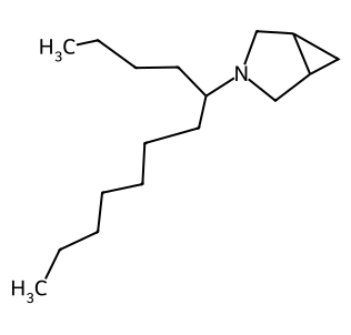 CCCCCCCC(CCCC)N1CC2CC2C1